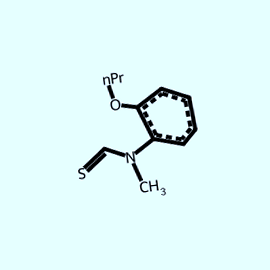 CCCOc1ccccc1N(C)C=S